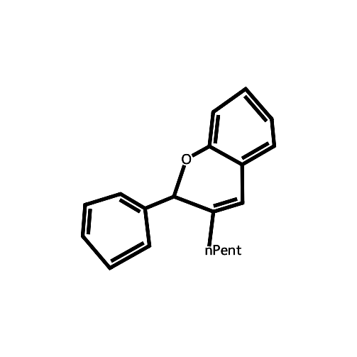 CCCCCC1=Cc2ccccc2OC1c1ccccc1